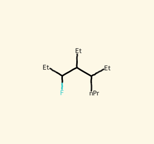 CCCC(CC)C(CC)C(F)CC